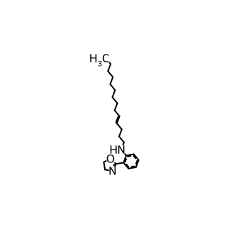 CCCCCCCCCC=CCCCNc1ccccc1C1=NCCO1